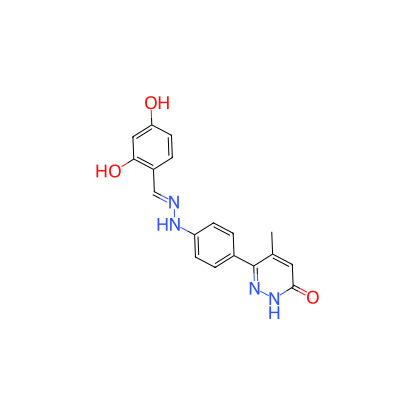 Cc1cc(=O)[nH]nc1-c1ccc(N/N=C/c2ccc(O)cc2O)cc1